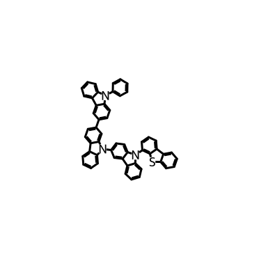 c1ccc(-n2c3ccccc3c3cc(-c4ccc5c6ccccc6n(-c6ccc7c(c6)c6ccccc6n7-c6cccc7c6sc6ccccc67)c5c4)ccc32)cc1